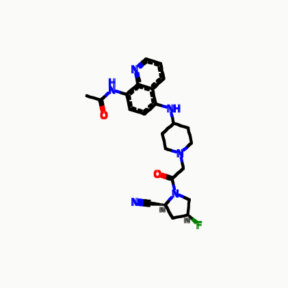 CC(=O)Nc1ccc(NC2CCN(CC(=O)N3C[C@@H](F)C[C@H]3C#N)CC2)c2cccnc12